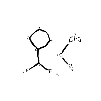 CCOC=O.FC(F)C1CCC1